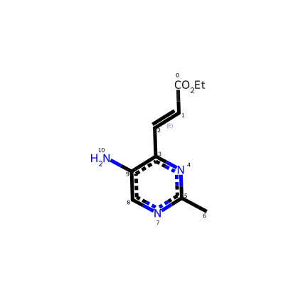 CCOC(=O)/C=C/c1nc(C)ncc1N